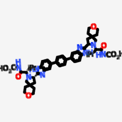 CC(C)C(C(=O)NC(=O)O)N1CC2(CCOCC2)CC1c1nc2cc(-c3ccc(-c4ccc5[nH]c([C@@H]6CC7(CCOCC7)CN6[C@H](C(=O)NC(=O)O)C(C)C)nc5c4)cc3)ccc2[nH]1